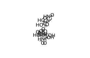 CC(=O)N[C@@H](C=O)[C@@H](O)[C@H](O)[C@@H](CO)OP(=O)(OC[C@H]1O[C@@H](n2ccc(=O)[nH]c2=O)[C@H](O)[C@@H]1O)OP(=O)(O)O